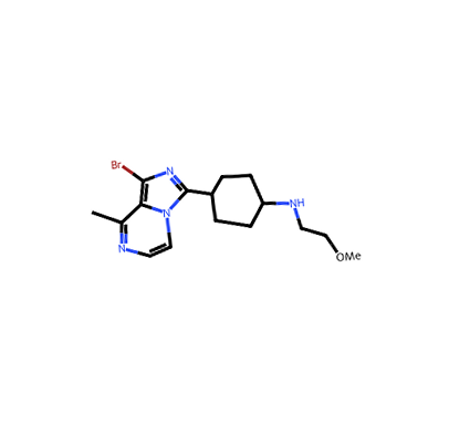 COCCNC1CCC(c2nc(Br)c3c(C)nccn23)CC1